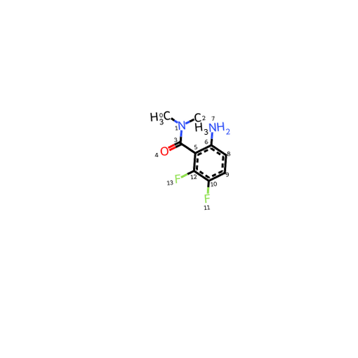 CN(C)C(=O)c1c(N)ccc(F)c1F